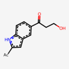 CC(=O)c1cc2cc(C(=O)CCO)ccc2[nH]1